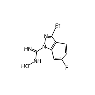 CCc1nn(C(=N)NO)c2cc(F)ccc12